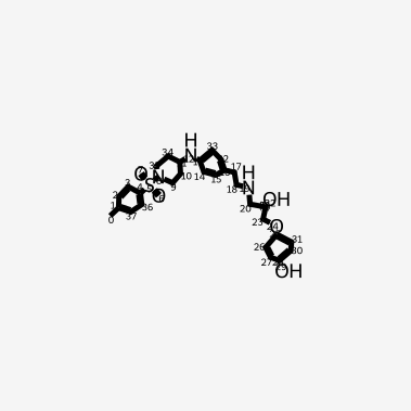 Cc1ccc(S(=O)(=O)N2CCC(Nc3ccc(CCNC[C@@H](O)COc4ccc(O)cc4)cc3)CC2)cc1